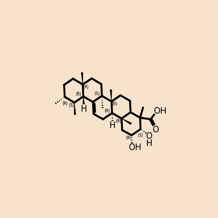 C[C@H]1[C@H](C)CC[C@]2(C)CC[C@]3(C)C(=CC[C@@H]4[C@@]5(C)C[C@@H](O)[C@@H](O)C(C)(C(=O)O)C5CC[C@]43C)[C@H]12